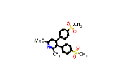 COc1cc(-c2ccc(S(C)(=O)=O)cc2)c(-c2ccc(S(C)(=O)=O)cc2)c(C(F)(F)F)n1